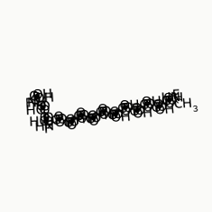 CC(CNF)COP(=O)(O)OCCOP(=O)(O)OCCOP(=O)(O)OCCOP(=O)(O)OCCOP(=O)(O)OCCOP(=O)(O)OCCOP(=O)(O)OCCOP(=O)(O)OCCOP(=O)(O)OCCOP(=O)(O)OCCOP(=O)(O)OCC(CNF)COP(=O)(O)OCCOP(=O)(O)OCC(CNF)COP(=O)(O)O